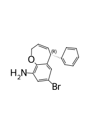 Nc1cc(Br)cc2c1OCC=C[C@@H]2c1ccccc1